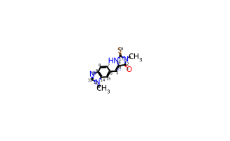 CN1C(=O)/C(=C/c2ccc3ncn(C)c3c2)NC1=S